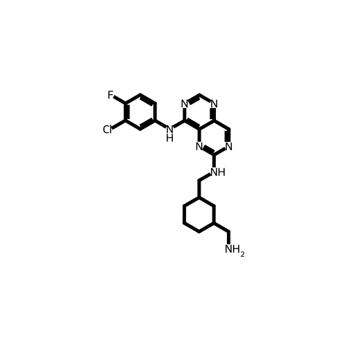 NCC1CCCC(CNc2ncc3ncnc(Nc4ccc(F)c(Cl)c4)c3n2)C1